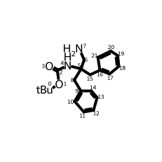 CC(C)(C)OC(=O)NC(CN)(Cc1ccccc1)Cc1ccccc1